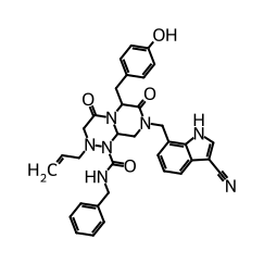 C=CCN1CC(=O)N2C(Cc3ccc(O)cc3)C(=O)N(Cc3cccc4c(C#N)c[nH]c34)CC2N1C(=O)NCc1ccccc1